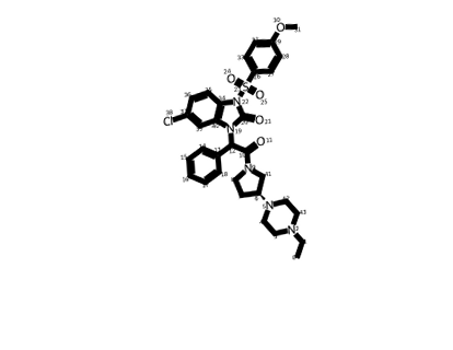 CCN1CCN([C@@H]2CCN(C(=O)C(c3ccccc3)n3c(=O)n(S(=O)(=O)c4ccc(OC)cc4)c4ccc(Cl)cc43)C2)CC1